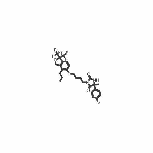 CCCc1c(OCCCCN2C(=O)NC(C)(c3ccc(Br)cc3)C2=O)ccc2c1COC2(C(F)(F)F)C(F)(F)F